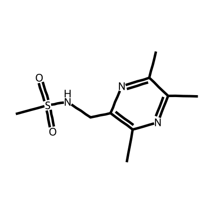 Cc1nc(C)c(CNS(C)(=O)=O)nc1C